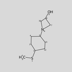 CSC1CCC(N2CC(O)C2)CC1